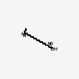 CCCC1(CCCCCCCCCCC/C=C/C[C@H](CCO)N=O)N=N1